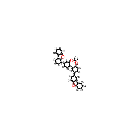 CC1(C)Oc2cc(-c3cccc4c3oc3ccccc34)ccc2-c2cc(-c3ccc4oc5ccccc5c4c3)ccc2O1